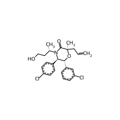 C=CC[C@@]1(C)O[C@H](c2cccc(Cl)c2)[C@@H](c2ccc(Cl)cc2)N([C@@H](C)CCO)C1=O